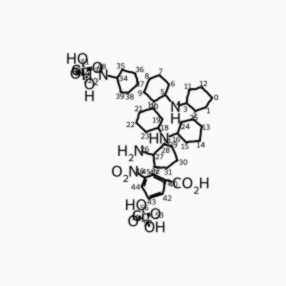 C1CCC(NC2CCCCC2)CC1.C1CCC(NC2CCCCC2)CC1.NC1CCCCC1.NC1CCCCC1.O=C(O)c1cccc([N+](=O)[O-])c1.[O]=[Cr](=[O])([OH])[OH].[O]=[Cr](=[O])([OH])[OH]